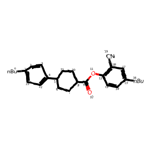 CCCCc1ccc(C2CCC(C(=O)Oc3ccc(CCCC)cc3C#N)CC2)cc1